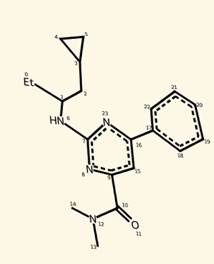 CCC(CC1CC1)Nc1nc(C(=O)N(C)C)cc(-c2ccccc2)n1